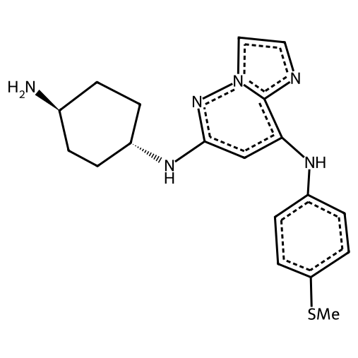 CSc1ccc(Nc2cc(N[C@H]3CC[C@H](N)CC3)nn3ccnc23)cc1